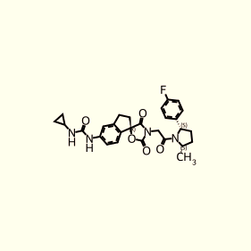 C[C@H]1CC[C@@H](c2ccc(F)cc2)N1C(=O)CN1C(=O)O[C@@]2(CCc3cc(NC(=O)NC4CC4)ccc32)C1=O